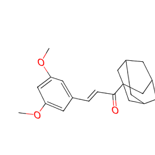 COc1cc(C=CC(=O)C23CC4CC(CC(C4)C2)C3)cc(OC)c1